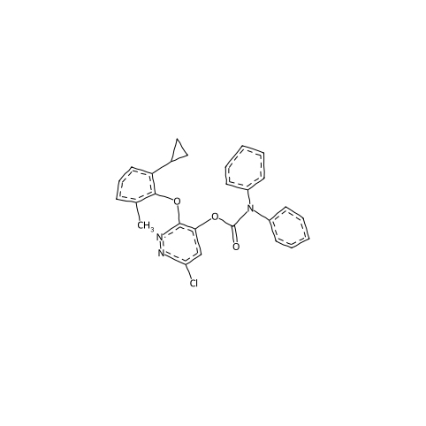 Cc1cccc(C2CC2)c1Oc1nnc(Cl)cc1OC(=O)N(c1ccccc1)c1ccccc1